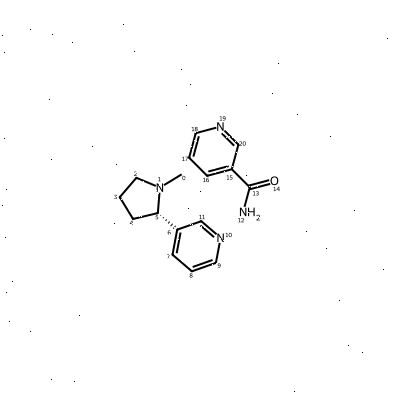 CN1CCC[C@H]1c1cccnc1.NC(=O)c1cccnc1